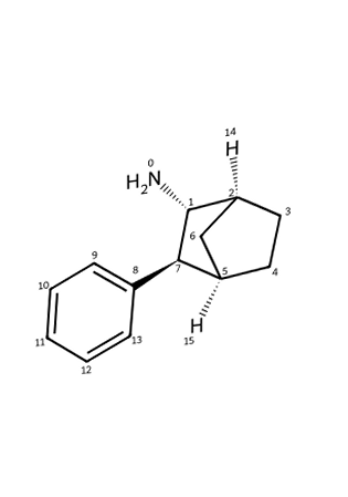 N[C@@H]1[C@H]2CC[C@H](C2)[C@H]1c1ccccc1